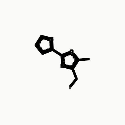 Cc1oc(-c2cccs2)nc1CI